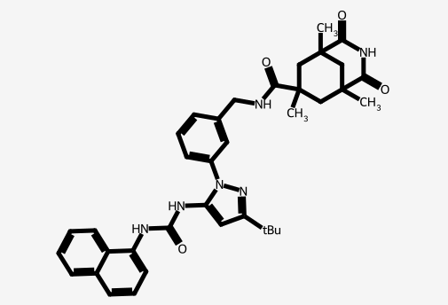 CC1(C(=O)NCc2cccc(-n3nc(C(C)(C)C)cc3NC(=O)Nc3cccc4ccccc34)c2)CC2(C)CC(C)(C1)C(=O)NC2=O